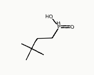 CC(C)(C)CC[PH](=O)O